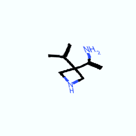 C=C(N)C1(C(C)C)CNC1